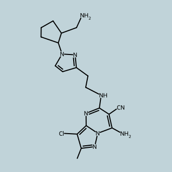 Cc1nn2c(N)c(C#N)c(NCCc3ccn(C4CCCC4CN)n3)nc2c1Cl